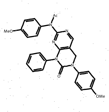 COc1ccc(N2Cc3cnc(N(C(C)=O)c4ccc(OC)cc4)nc3N(c3ccccc3)C2=O)cc1